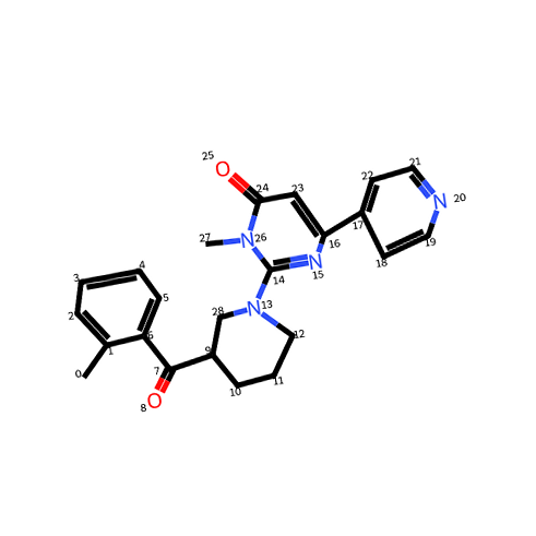 Cc1ccccc1C(=O)C1CCCN(c2nc(-c3ccncc3)cc(=O)n2C)C1